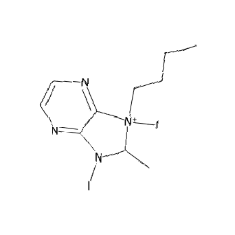 CCCC[N+]1(I)c2nccnc2N(I)C1C